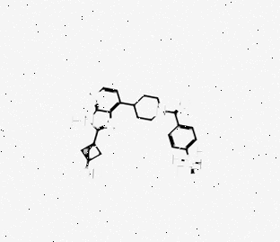 O=C(c1ccc(S(F)(F)(F)(F)F)cc1)N1CCC(c2ccnc3[nH]c(C45CC(O)(C4)C5)nc23)CC1